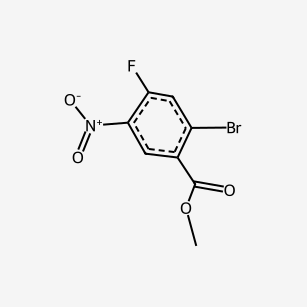 COC(=O)c1cc([N+](=O)[O-])c(F)cc1Br